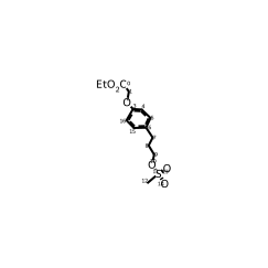 CCOC(=O)COc1ccc(CCCOS(C)(=O)=O)cc1